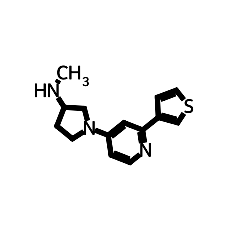 CNC1CCN(c2ccnc(-c3ccsc3)c2)C1